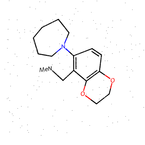 CNCc1c(N2CCCCCC2)ccc2c1OCCO2